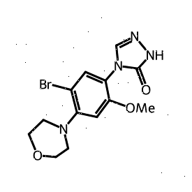 COc1cc(N2CCOCC2)c(Br)cc1-n1cn[nH]c1=O